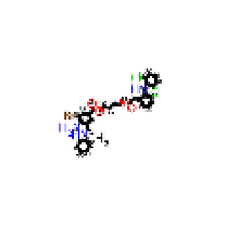 CC1(NCc2cc(C(=O)OCCCCOC(=O)Cc3ccccc3Nc3c(Cl)cccc3Cl)cc(Br)c2N)CCCCC1